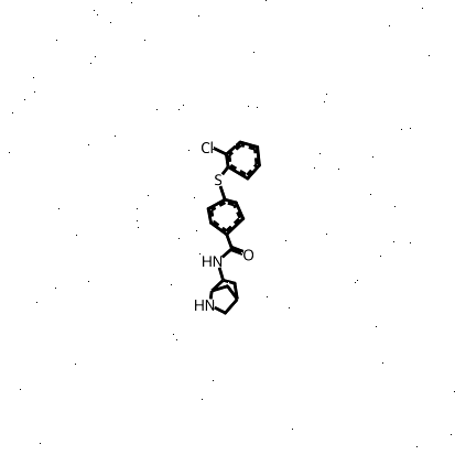 O=C(NC1CC2CNC1C2)c1ccc(Sc2ccccc2Cl)cc1